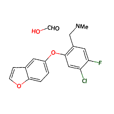 CNCc1cc(F)c(Cl)cc1Oc1ccc2occc2c1.O=CO